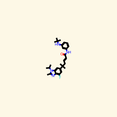 Cc1nc2c(F)cc(C(C)(C)C/C=C/C(=O)Nc3cccc(NC(C)(C)C)c3)cc2n1C(C)C